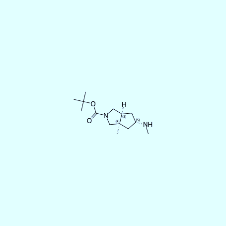 CN[C@H]1C[C@@H]2CN(C(=O)OC(C)(C)C)C[C@]2(C)C1